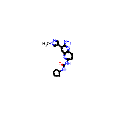 Cn1cc(-c2cc3nc(NC(=O)NC4CCCC4)ccc3nc2N)cn1